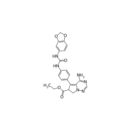 CCOC(=O)C1CN2N=CN=C(N)C2=C1c1ccc(NC(=O)Nc2ccc3c(c2)OCO3)cc1